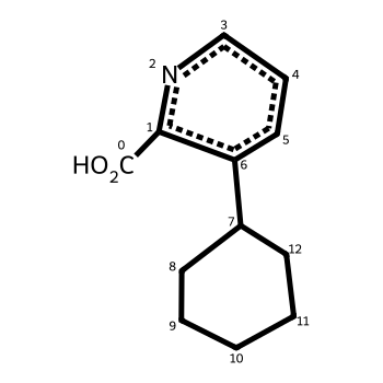 O=C(O)c1ncccc1C1CCCCC1